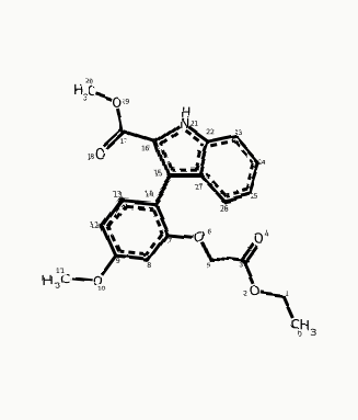 CCOC(=O)COc1cc(OC)ccc1-c1c(C(=O)OC)[nH]c2ccccc12